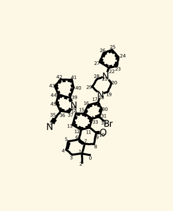 CC1(C)CC=CC2=C1CC(=O)c1c2ccc2cc(N3CCN(c4ccccc4)CC3)cc(Br)c12.N#Cc1cnc2ccccc2c1